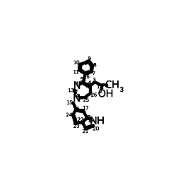 CC(O)CC1=C(c2ccccc2)N=CN(CC2=CC3NC=CC3C=C2)CC1